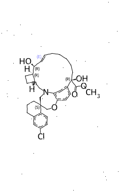 COC(=O)[C@@]1(O)CCCCC/C=C/[C@H](O)[C@@H]2CC[C@H]2CN2C[C@@]3(CCCc4cc(Cl)ccc43)COc3ccc1cc32